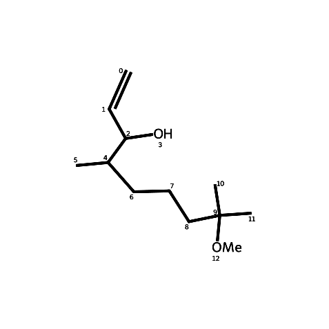 C=CC(O)C(C)CCCC(C)(C)OC